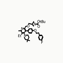 CCc1c(C)nc(COCC2CN(C(=O)OC(C)(C)C)C2)c(-c2ccc(OCCc3ccc(F)cc3)cc2)c1N1CCC(C)(C)CC1